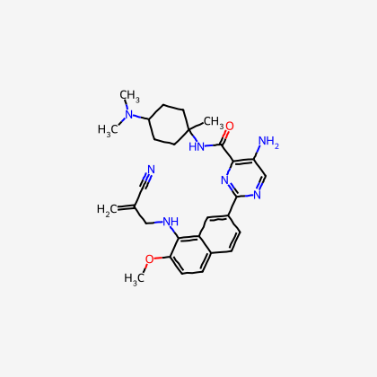 C=C(C#N)CNc1c(OC)ccc2ccc(-c3ncc(N)c(C(=O)NC4(C)CCC(N(C)C)CC4)n3)cc12